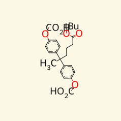 CC(C)(C)OC(=O)CCCC(C)(c1ccc(OC(=O)O)cc1)c1ccc(OC(=O)O)cc1